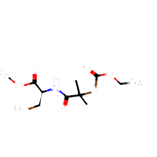 CC(=O)OCOC(=O)SC(C)(C)C(=O)N[C@@H](CS)C(=O)OC(C)C